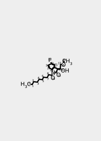 CCCCCCCCCC(=O)N1C(=O)/C(=C(\O)COC)c2cc(F)ccc21